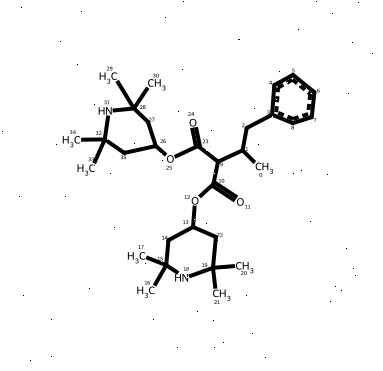 CC(Cc1ccccc1)C(C(=O)OC1CC(C)(C)NC(C)(C)C1)C(=O)OC1CC(C)(C)NC(C)(C)C1